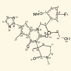 COc1ccc(F)cc1C(Cn1c(=O)n(C2(C)CCCN(C)C2=O)c(=O)c2c(C)c(-n3nccn3)sc21)OCCO